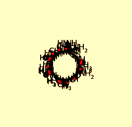 CCCC[C@H]1C(=O)N(C)[C@@H](CCCC)C(=O)N[C@@H](CCCNC(=N)N)C(=O)N[C@H](C(=O)NCC(N)=O)CSCC(=O)N[C@@H](Cc2ccccc2)C(=O)N(C)[C@@H](C)C(=O)N[C@@H](CC(N)=O)C(=O)N2CCC[C@H]2C(=O)N[C@@H](Cc2cnc[nH]2)C(=O)N[C@@H](CC(C)C)C(=O)N(C)CC(=O)N[C@@H](Cc2c[nH]c3ccccc23)C(=O)N(C)[C@@H](CO)C(=O)N[C@@H](Cc2c[nH]c3ccccc23)C(=O)N1C